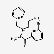 CN(C(=O)c1cccc(Br)c1)[C@H](CCN)Cc1ccccc1